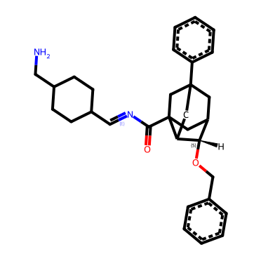 NCC1CCC(/C=N/C(=O)C23CC4CC(c5ccccc5)(CC2[C@H]4OCc2ccccc2)C3)CC1